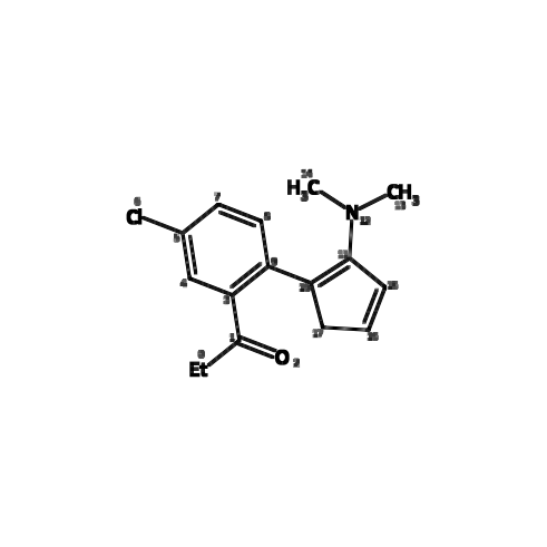 CCC(=O)c1cc(Cl)ccc1C1=C(N(C)C)C=CC1